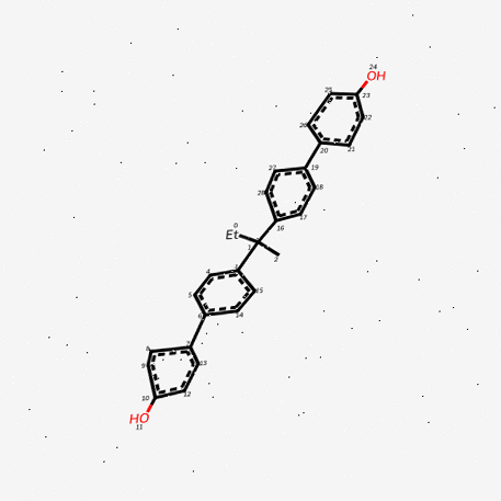 CCC(C)(c1ccc(-c2ccc(O)cc2)cc1)c1ccc(-c2ccc(O)cc2)cc1